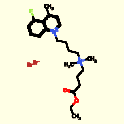 CCOC(=O)CCC[N+](C)(C)CCCC[n+]1ccc(C)c2c(F)cccc21.[Br-].[Br-]